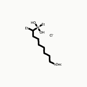 CCCCCCCCCCCCCCCCCC(CC)[N+](O)(O)CC.[Cl-]